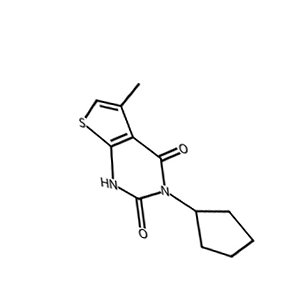 Cc1csc2[nH]c(=O)n(C3CCCC3)c(=O)c12